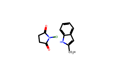 O=C(O)c1cc2ccccc2[nH]1.O=C1CCC(=O)N1Cl